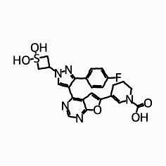 O=C(O)N1C=C(c2cc3c(-c4cn(C5CS(O)(O)C5)nc4-c4ccc(F)cc4)ncnc3o2)CCC1